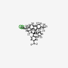 CC(C)c1ccc([C](C2CCC2)=[Zr+2]([CH]2C=CC=C2)[CH]2c3cc(C(C)(C)C)ccc3-c3ccc(C(C)(C)C)cc32)cc1.[Cl-].[Cl-]